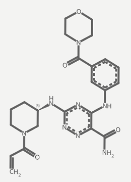 C=CC(=O)N1CCC[C@@H](Nc2nnc(C(N)=O)c(Nc3cccc(C(=O)N4CCOCC4)c3)n2)C1